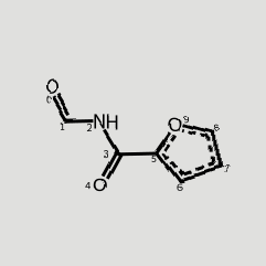 O=CNC(=O)c1ccco1